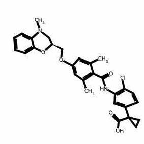 Cc1cc(OC[C@@H]2CN(C)c3ccccc3O2)cc(C)c1C(=O)Nc1cc(C2(C(=O)O)CC2)ccc1Cl